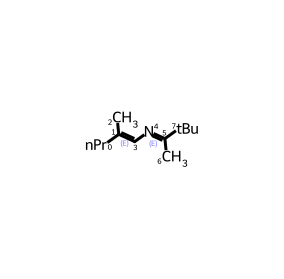 CCC/C(C)=C/N=C(\C)C(C)(C)C